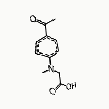 CC(=O)c1ccc(N(C)CC(=O)O)cc1